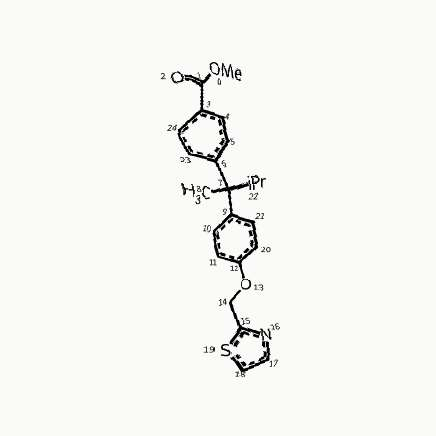 COC(=O)c1ccc(C(C)(c2ccc(OCc3nccs3)cc2)C(C)C)cc1